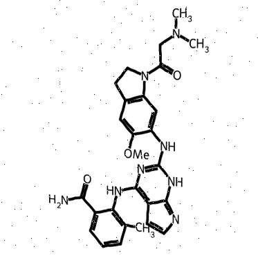 COc1cc2c(cc1Nc1nc(Nc3c(C)cccc3C(N)=O)c3ccnc-3[nH]1)N(C(=O)CN(C)C)CC2